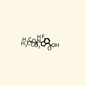 CC(C)(C)OC(=O)N[C@H]1CCc2c(C(=O)O)ccc(F)c21